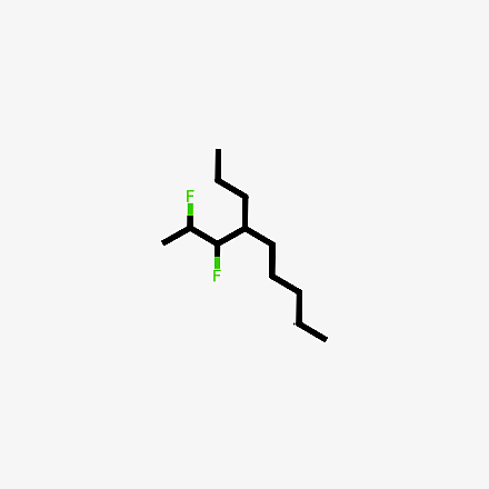 C[CH]CCCC(CCC)C(F)C(C)F